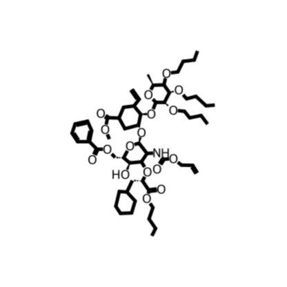 C=CCOC(=O)NC1C(O[C@@H](CC2CCCCC2)C(=O)OCCCC)[C@@H](O)[C@H](COC(=O)c2ccccc2)O[C@H]1O[C@@H]1CC(C(=O)OC)CC(C=C)[C@H]1OC1O[C@@H](C)C(OCCCC)[C@H](OCCCC)[C@@H]1OCCCC